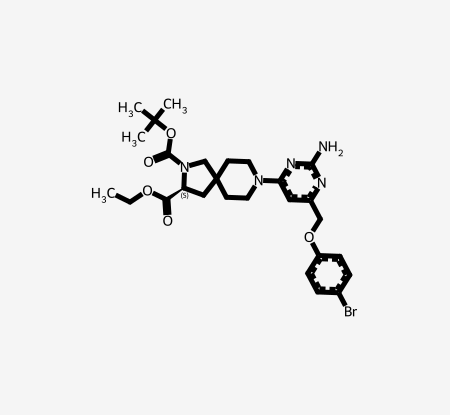 CCOC(=O)[C@@H]1CC2(CCN(c3cc(COc4ccc(Br)cc4)nc(N)n3)CC2)CN1C(=O)OC(C)(C)C